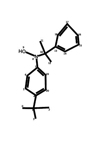 CC(C)(C)c1ccc(N(O)C(C)(C)c2ccccc2)cc1